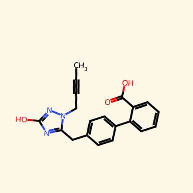 CC#CCn1nc(O)nc1Cc1ccc(-c2ccccc2C(=O)O)cc1